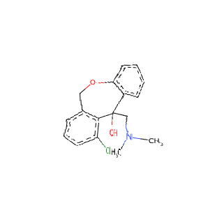 CN(C)CC1(O)c2ccccc2OCc2cccc(Cl)c21